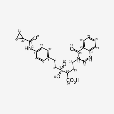 O=C(Nc1ccc(CCS(=O)(=O)C(CCn2nnc3ccccc3c2=O)C(=O)O)cc1)C1CC1